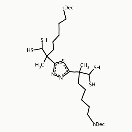 CCCCCCCCCCCCCCCC(C)(c1nnc(C(C)(CCCCCCCCCCCCCCC)C(S)S)s1)C(S)S